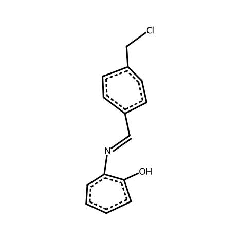 Oc1ccccc1N=Cc1ccc(CCl)cc1